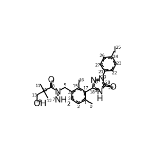 Cc1ccc(CN(N)C(=O)C(C)(C)CO)c(C)c1-c1nn(-c2ccc(I)cc2)c(=O)[nH]1